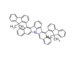 CC1(C)c2ccccc2-c2cccc(-c3c4ccccc4cc4c3c3cccc5c6c(-c7cccc8c7C(C)(C)c7ccccc7-8)c7ccccc7cc6n4c35)c21